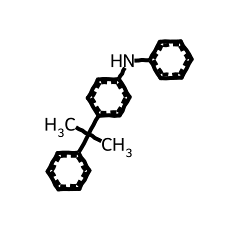 CC(C)(c1ccccc1)c1ccc(Nc2ccccc2)cc1